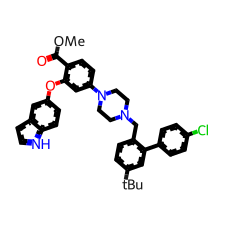 COC(=O)c1ccc(N2CCN(Cc3ccc(C(C)(C)C)cc3-c3ccc(Cl)cc3)CC2)cc1Oc1ccc2[nH]ccc2c1